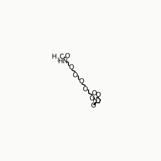 CC(=O)NCCOCCOCCOCCOCCC(=O)ON1C(=O)CCC1=O